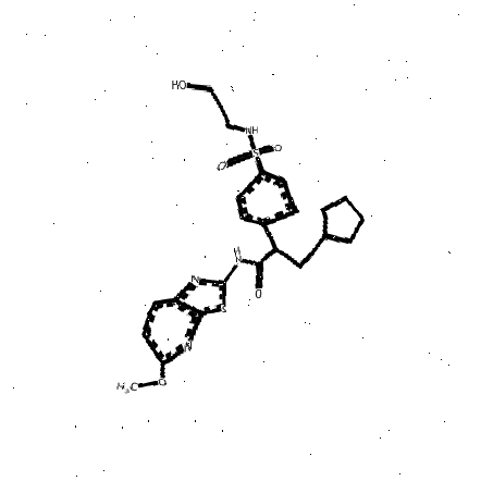 COc1ccc2nc(NC(=O)C(CC3CCCC3)c3ccc(S(=O)(=O)NCCO)cc3)sc2n1